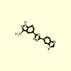 Cn1cnc2ccc(-c3nnc(-c4ccc5[nH]nc(N)c5c4)o3)cc21